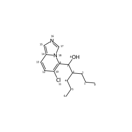 CCCC(CCC)C(O)c1c(Cl)ccc2cncn12